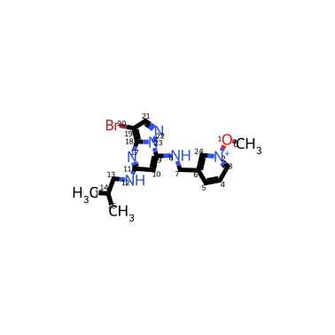 CO[n+]1cccc(CNc2cc(NCC(C)C)nc3c(Br)cnn23)c1